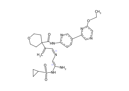 C=C(/C=N\C=C(/N)NS(=O)(=O)C1CC1)C1(C(=O)Nc2ccc(-c3cncc(OCC)n3)cn2)CCOCC1